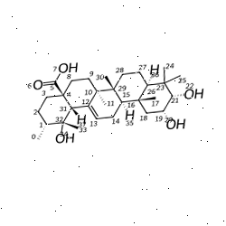 C[C@@H]1CC[C@]2(C(=O)O)CC[C@]3(C)C(=CC[C@@H]4[C@@]5(C)C[C@@H](O)[C@@H](O)C(C)(C)[C@@H]5CC[C@]43C)[C@@H]2[C@]1(C)O